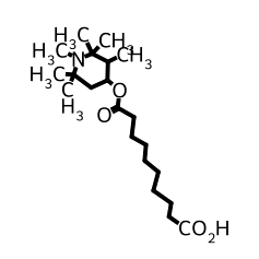 CC1C(OC(=O)CCCCCCCCC(=O)O)CC(C)(C)N(C)C1(C)C